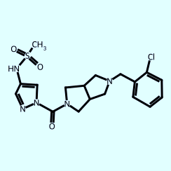 CS(=O)(=O)Nc1cnn(C(=O)N2CC3CN(Cc4ccccc4Cl)CC3C2)c1